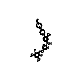 CCN1CCN(C2CCN(c3ccc(Nc4ncc(OCc5c(F)c(OC)cc(OC)c5F)cn4)cc3OC)CC2)CC1